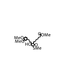 COC(=O)CCCCCC=C1C(=O)C(SC)=CC1(O)CCCc1ccc(OC)c(OC)c1